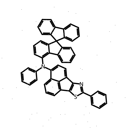 c1ccc(-c2nc3c(s2)-c2cccc4c(N(c5ccccc5)c5cccc6c5-c5ccccc5C65c6ccccc6-c6ccccc65)ccc-3c24)cc1